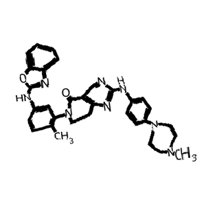 Cc1ccc(Nc2nc3ccccc3o2)cc1N1CCc2nc(Nc3ccc(N4CCN(C)CC4)cc3)ncc2C1=O